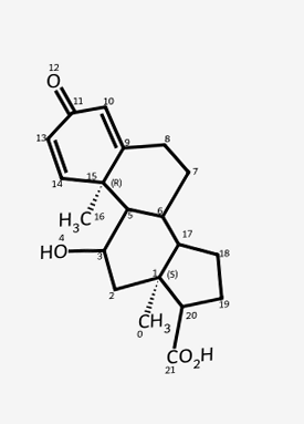 C[C@]12CC(O)C3C(CCC4=CC(=O)C=C[C@@]43C)C1CCC2C(=O)O